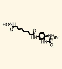 CC(C)[C@H]1Nc2ccc(NC(=O)CCCCCCC(=O)NO)cc2NC1=O